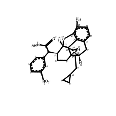 CNC(=O)C(c1cccc([N+](=O)[O-])c1)[C@@H]1CC[C@@]2(O)[C@H]3Cc4ccc(O)c5c4[C@@]2(CCN3CC2CC2)[C@H]1O5